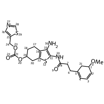 COC1C=CC=C(CCC(=O)Nc2sc3c(c2N)CCC(OC(=O)OCc2cncs2)C3)C1